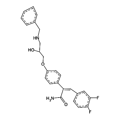 NC(=O)/C(=C\c1ccc(F)c(F)c1)c1ccc(OCC(O)CNCc2ccccc2)cc1